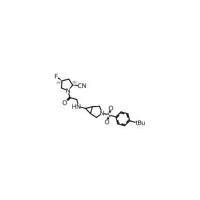 CC(C)(C)c1ccc(S(=O)(=O)N2CC3C(C2)C3NCC(=O)N2C[C@@H](F)C[C@H]2C#N)cc1